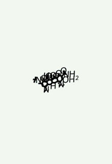 CN(C)c1cc(CNC(C)(C)C)c(O)c2c1C[C@H]1C[C@@]3(C)[C@H](N(C)C)C(O)=C(C(N)=O)C(=O)[C@@]3(O)C(O)=C1C2=O